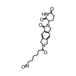 O=NCCCCCC(=O)N1Cc2cc3c(cc2C1)C(=O)N(C1CCC(=O)NC1=O)C3